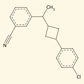 CC([C]1CC(c2ccc(Cl)cc2)C1)c1cccc(C#N)c1